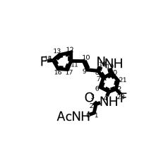 CC(=O)NCC(=O)Nc1cc2c(C=Cc3ccc(F)cc3)n[nH]c2cc1F